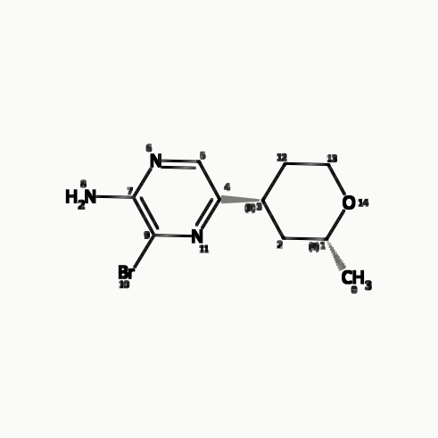 C[C@@H]1C[C@H](c2cnc(N)c(Br)n2)CCO1